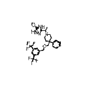 CC(c1n[nH]c(=O)[nH]1)N1CCC(COCc2cc(C(F)(F)F)cc(C(F)(F)F)c2)(c2ccccc2)CC1